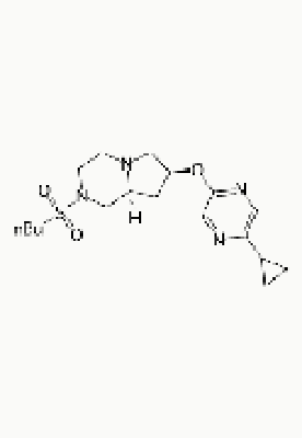 CCCCS(=O)(=O)N1CCN2C[C@@H](Oc3cnc(C4CC4)cn3)C[C@H]2C1